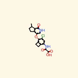 CC1CCc2c(Oc3c(Cl)cc(NC(=O)C(=O)O)c4c3CC4)c[nH]c(=O)c21